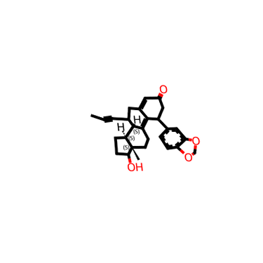 CC#CC1CC2=CC(=O)CC(c3ccc4c(c3)OCO4)C2=C2CC[C@]3(C)C(O)CC[C@H]3[C@@H]21